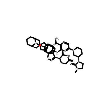 CN1CCN([C@@H]2CCCN(c3cnc(C(N)=O)c(Nc4ccc(C5CC6CCCC(C5)N6C5Cc6ccc7c(C8CCC(=O)NC8=O)noc7c6C5)cc4)n3)C2)C1=O